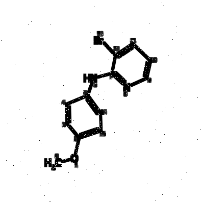 COc1ccc(Nc2nc[c]cc2Br)cc1